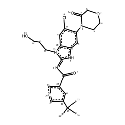 O=C(/N=c1\[nH]c2cc(N3CCOCC3=O)c(Cl)cc2n1CCCO)c1cccc(C(F)(F)F)c1